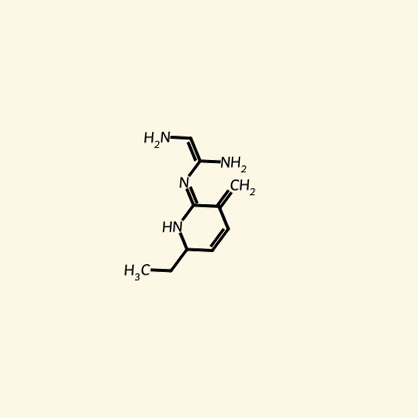 C=C1C=CC(CC)N/C1=N/C(N)=C\N